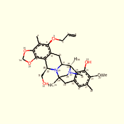 C=CCOc1c(C)c2c(c3c1CC1[C@H]4c5c(cc(C)c(OC)c5O)CC(C#N)(CN4C)N1[C@H]3CO)OCO2